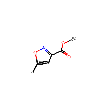 [CH2]c1cc(C(=O)OCC)no1